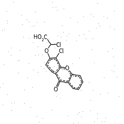 O=C(O)C(Cl)Oc1ccc2c(=O)c3ccccc3oc2c1Cl